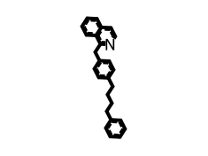 c1ccc(CCCCc2ccc(Cc3nccc4ccccc34)cc2)cc1